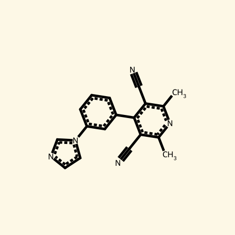 Cc1nc(C)c(C#N)c(-c2cccc(-n3ccnc3)c2)c1C#N